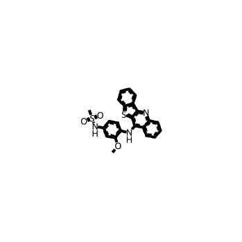 COc1cc(NS(C)(=O)=O)ccc1Nc1c2ccccc2nc2c1sc1ccccc12